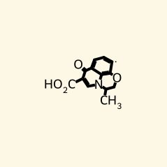 CC1COc2[c]ccc3c(=O)c(C(=O)O)cn1c23